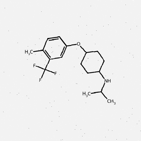 Cc1ccc(OC2CCC(NC(C)C)CC2)cc1C(F)(F)F